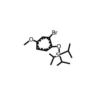 COc1ccc(O[Si](C(C)C)(C(C)C)C(C)C)c(Br)c1